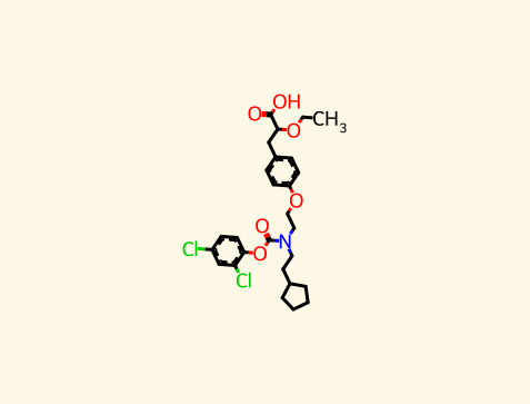 CCOC(Cc1ccc(OCCN(CCC2CCCC2)C(=O)Oc2ccc(Cl)cc2Cl)cc1)C(=O)O